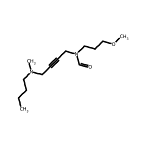 CCCCN(C)CC#CCN(C=O)CCCOC